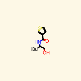 CCC(C)C(CO)NC(=O)c1ccsc1